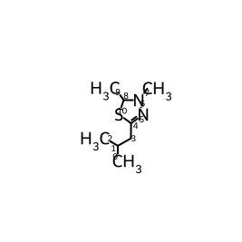 CC(C)CC1=NN(C)C(C)S1